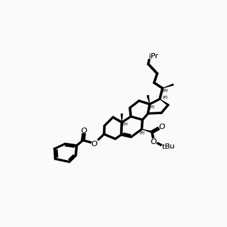 CC(C)CCC[C@@H](C)[C@H]1CCC2C3C(CC[C@@]21C)[C@@]1(C)CCC(OC(=O)c2ccccc2)CC1=C[C@@H]3C(=O)OC(C)(C)C